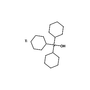 O[Si](C1CCCCC1)(C1CCCCC1)C1CCCCC1.[Ti]